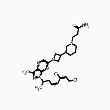 Cc1nn(C(C)C/C=C\C(Cl)=C/CCl)c2nc(N3CC(C4CCCN(CCC(N)=O)C4)C3)cnc12